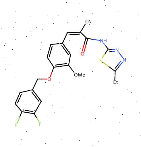 CCc1nnc(NC(=O)C(C#N)=Cc2ccc(OCc3ccc(F)c(F)c3)c(OC)c2)s1